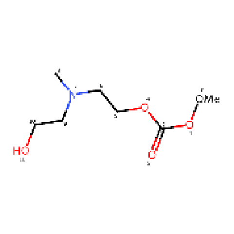 COOC(=O)OCCN(C)CCO